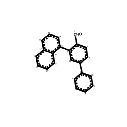 O=[C]c1ccc(-c2ccccc2)cc1-c1cccc2ccccc12